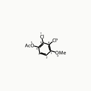 COc1ccc(OC(C)=O)c(Cl)c1Cl